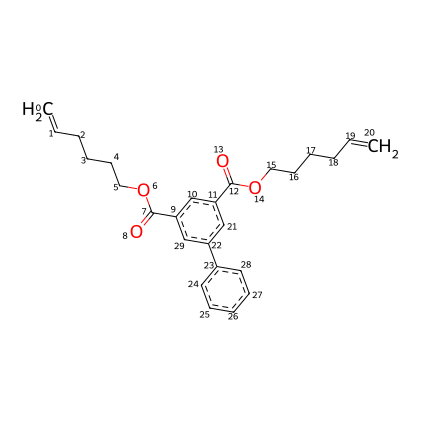 C=CCCCCOC(=O)c1cc(C(=O)OCCCCC=C)cc(-c2ccccc2)c1